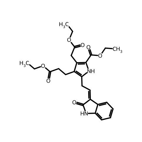 CCOC(=O)CCc1c(CC=C2C(=O)Nc3ccccc32)[nH]c(C(=O)OCC)c1CC(=O)OCC